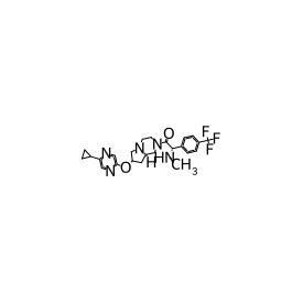 CN[C@H](C(=O)N1CCN2C[C@H](Oc3cnc(C4CC4)cn3)C[C@H]2C1)c1ccc(C(F)(F)F)cc1